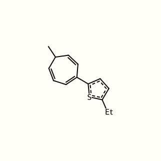 CCc1ccc(C2=CC=CC(C)C=C2)s1